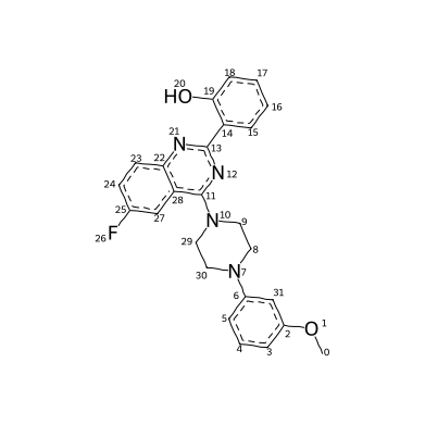 COc1cccc(N2CCN(c3nc(-c4ccccc4O)nc4ccc(F)cc34)CC2)c1